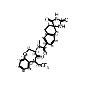 O=C1NC(=O)C2(CCc3cc(C(=O)N[C@@H]4COc5ccccc5N(CC(F)(F)F)C4=O)ccc3C2)N1